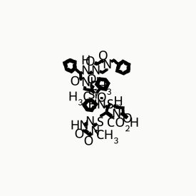 Cn1c(SCC2=C(C(=O)O)N3C(=O)C[C@H]3SC2NO[Si](c2ccccc2)(c2ccccc2)C(C)(C)CNC(=O)C(NC(=O)N2CCN(Cc3ccccc3)C(=O)C2=O)c2ccccc2)n[nH]c(=O)c1=O